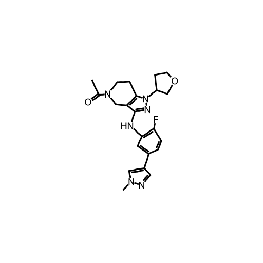 CC(=O)N1CCc2c(c(Nc3cc(-c4cnn(C)c4)ccc3F)nn2C2CCOC2)C1